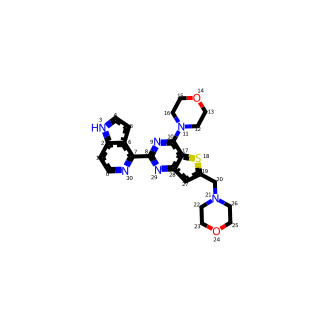 c1cc2[nH]ccc2c(-c2nc(N3CCOCC3)c3sc(CN4CCOCC4)cc3n2)n1